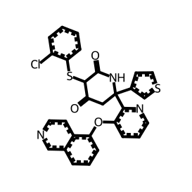 O=C1CC(c2ccsc2)(c2ncccc2Oc2cccc3cnccc23)NC(=O)C1Sc1ccccc1Cl